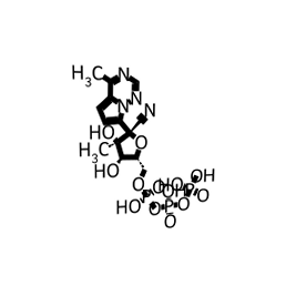 Cc1ncnn2c([C@]3(C#N)O[C@H](COP(=O)(O)OP(=O)(O)OP(=O)(O)O)[C@@H](O)[C@@]3(C)O)ccc12